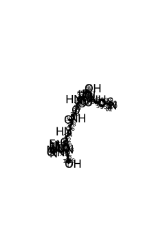 CCn1c(-c2nonc2N)nc2c(C#CC(C)(C)O)ncc(OCCCNCCCC(=O)NCCOCCC(=O)N[C@H](C(=O)N3C[C@H](O)C[C@H]3C(=O)NCc3ccc(-c4scnc4C)cc3)C(C)(C)C)c21